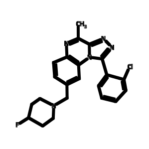 Cc1nc2ccc(CN3CCC(F)CC3)cc2n2c(-c3ccccc3Cl)nnc12